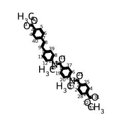 COC(=O)c1ccc(C=Cc2ccc(N(C)C(=O)c3ccc(N(C)C(=O)c4ccc(C(=O)OC)cc4)cc3)cc2)cc1